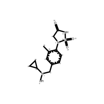 CCCN(Cc1ccc(N2CC(=O)NS2(=O)=O)c(C)c1)C1CC1